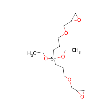 CCO[Si](CCCOCC1CO1)(CCCOCC1CO1)OCC